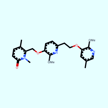 COc1ncc(C)cc1OCCc1ccc(OCc2c(C)ccc(=O)n2C)c(OC)n1